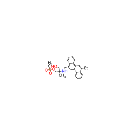 CCc1cc2c3ccccc3c(CNC(C)(CO)COS(C)(=O)=O)cc2c2ccccc12